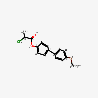 CCCCCCCSc1ccc(-c2ccc(OC(=O)C(Cl)C(C)CC)cc2)cc1